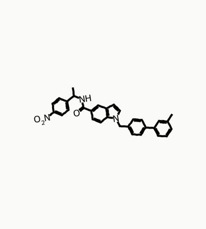 Cc1cccc(-c2ccc(Cn3ccc4cc(C(=O)NC(C)c5ccc([N+](=O)[O-])cc5)ccc43)cc2)c1